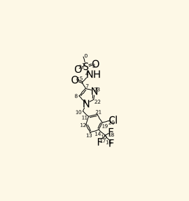 CS(=O)(=O)NC(=O)c1cn(Cc2ccc(C(F)(F)F)c(Cl)c2)cn1